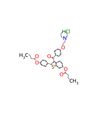 CCCC(=O)Oc1ccc(-c2sc3cc(OC(=O)CCC)ccc3c2C(=O)c2ccc(OCCN3CCCCC3)cc2)cc1.Cl